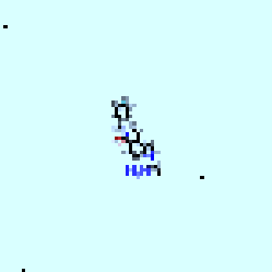 C=CC(N)n1ccc2c3ccn(Cc4ccc(F)cc4)c(=O)c3ccc21